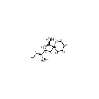 CCC(O)CCC1(C(=O)O)CC[CH]CC1